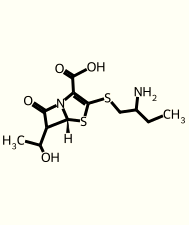 CCC(N)CSC1=C(C(=O)O)N2C(=O)C(C(C)O)[C@H]2S1